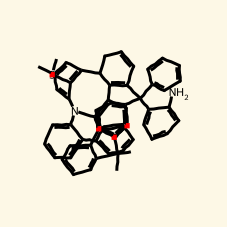 CSc1c2cc(C)cc1N(c1ccccc1-c1ccccc1)c1c(ccc3c1-c1ccccc1C3(C)C)C1=C(C(c3ccccc3)(c3ccccc3)c3ccccc3N)C=CCC12